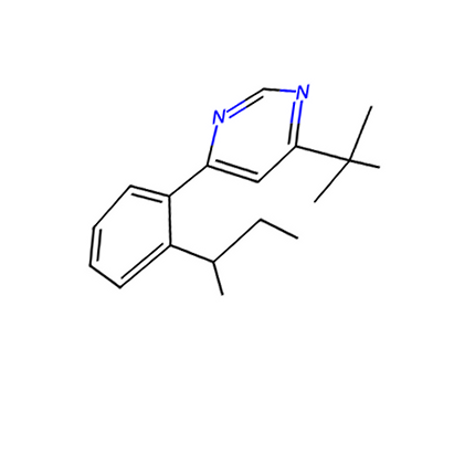 CCC(C)c1ccccc1-c1cc(C(C)(C)C)ncn1